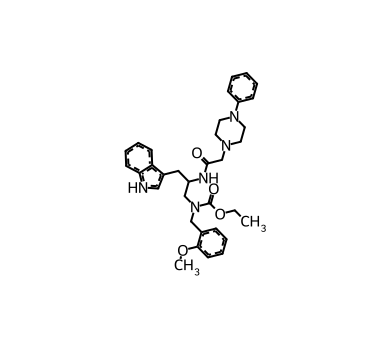 CCOC(=O)N(Cc1ccccc1OC)CC(Cc1c[nH]c2ccccc12)NC(=O)CN1CCN(c2ccccc2)CC1